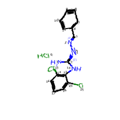 Cl.N/C(=N\N=C\c1ccccc1)Nc1c(Cl)cccc1Cl